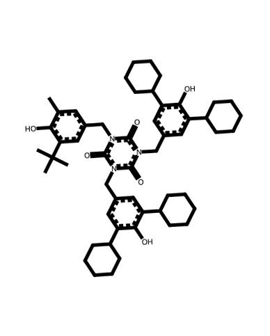 Cc1cc(Cn2c(=O)n(Cc3cc(C4CCCCC4)c(O)c(C4CCCCC4)c3)c(=O)n(Cc3cc(C4CCCCC4)c(O)c(C4CCCCC4)c3)c2=O)cc(C(C)(C)C)c1O